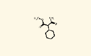 COC(=O)C(C(C)=O)C1CCCCC1